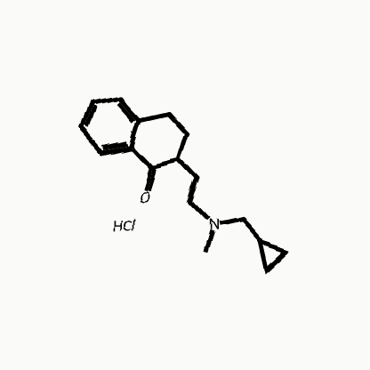 CN(CCC1CCc2ccccc2C1=O)CC1CC1.Cl